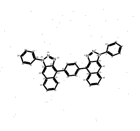 c1ccc(-n2nnc3c(-c4ccc(-c5c6ccccc6cc6c5nnn6-c5ccccc5)cc4)c4ccccc4cc32)cc1